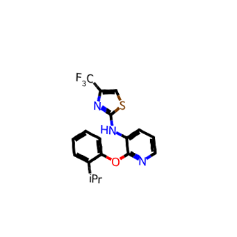 CC(C)c1ccccc1Oc1ncccc1Nc1nc(C(F)(F)F)cs1